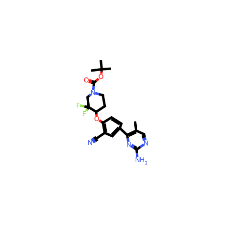 Cc1cnc(N)nc1-c1ccc(OC2CCN(C(=O)OC(C)(C)C)CC2(F)F)c(C#N)c1